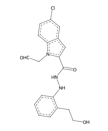 O=CCn1c(C(=O)NNc2ccccc2CCO)cc2cc(Cl)ccc21